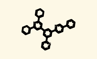 C1=CCCC(c2cc(-c3cc(-c4ccccn4)cc(-c4ccc(-c5ccccc5)cn4)c3)cc(C3=CCCC=C3)n2)=C1